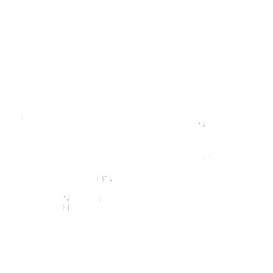 O=C(Nc1cccc(S(=O)(=O)N2CCCc3ccccc32)c1)c1cc(F)ccc1[NH+]([O-])O